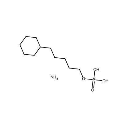 N.O=P(O)(O)OCCCCCC1CCCCC1